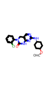 O=CO[C@H]1CC[C@H](Nc2ncc3c(n2)NC(=O)N(c2ccccc2Cl)C3)CC1